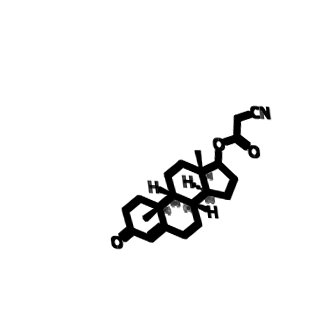 C[C@]12CCC(=O)C=C1CC[C@@H]1[C@H]2CC[C@]2(C)C(OC(=O)CC#N)CC[C@@H]12